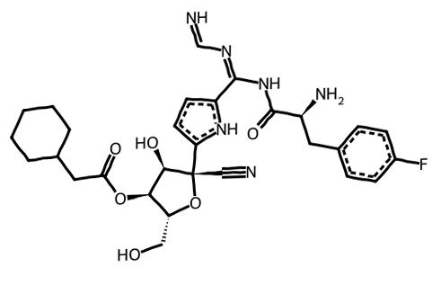 N#C[C@@]1(c2ccc(/C(=N\C=N)NC(=O)[C@@H](N)Cc3ccc(F)cc3)[nH]2)O[C@H](CO)[C@@H](OC(=O)CC2CCCCC2)[C@H]1O